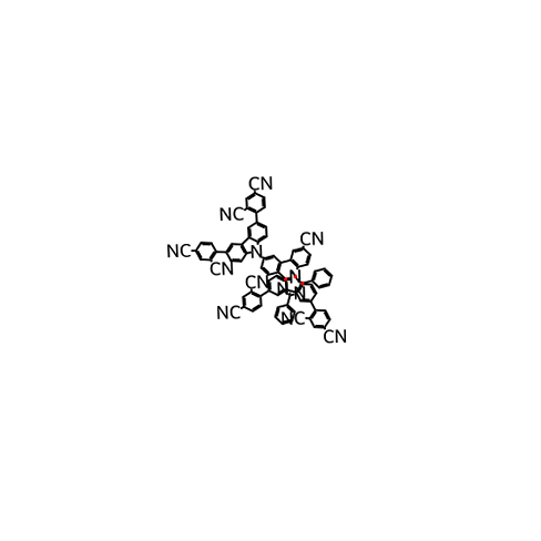 N#Cc1ccc(-c2ccc3c(c2)c2cc(-c4ccc(C#N)cc4C#N)ccc2n3-c2ccc(-c3nc(-c4ccccc4)nc(-c4ccccc4)n3)c(-c3cc(C#N)ccc3-n3c4ccc(-c5ccc(C#N)cc5C#N)cc4c4cc(-c5ccc(C#N)cc5C#N)ccc43)c2)c(C#N)c1